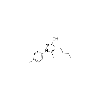 CCCCc1c(O)nn(-c2ccc(C)cc2)c1C